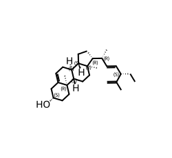 C=C(C)[C@H](C=C[C@@H](C)[C@H]1CC[C@H]2[C@@H]3CC=C4C[C@@H](O)CC[C@]4(C)[C@H]3CC[C@]12C)CC